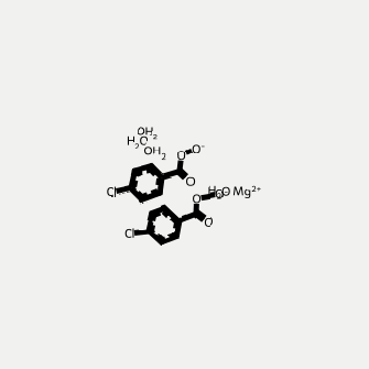 O.O.O.O.O=C(O[O-])c1ccc(Cl)cc1.O=C(O[O-])c1ccc(Cl)cc1.[Mg+2]